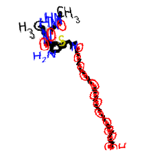 CCCN(OCCNC(=O)NCC)C(=O)C1=Cc2sc(CC3CN(C(=O)CCOCCOCCOCCOCCOCCOCCOCCOCCOCCOCCC(=O)O)C3)cc2C=C(N)C1